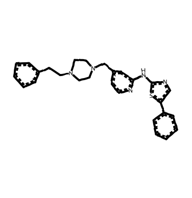 c1ccc(CCN2CCN(Cc3ccnc(Nc4ncc(-c5ccccc5)s4)c3)CC2)cc1